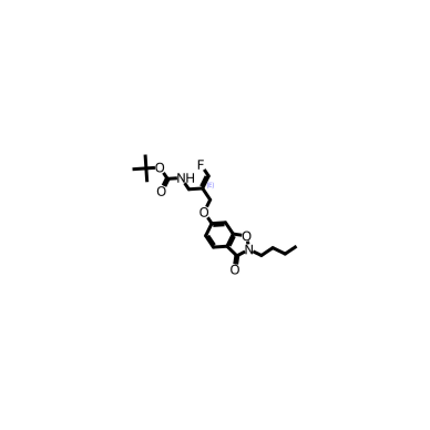 CCCCn1oc2cc(OC/C(=C/F)CNC(=O)OC(C)(C)C)ccc2c1=O